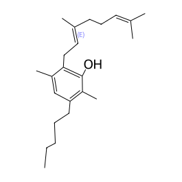 CCCCCc1cc(C)c(C/C=C(\C)CCC=C(C)C)c(O)c1C